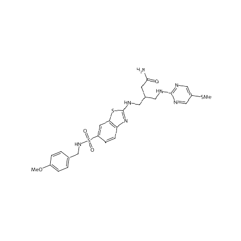 COc1ccc(CNS(=O)(=O)c2ccc3nc(NCC(CNc4ncc(SC)cn4)CC(N)=O)sc3c2)cc1